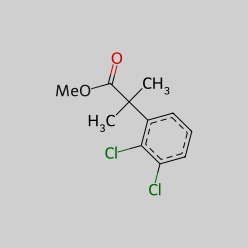 COC(=O)C(C)(C)c1cccc(Cl)c1Cl